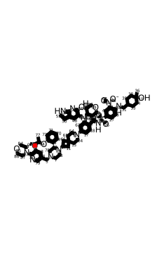 COc1cc(CN2CCN(C3CC4(CCN(c5ccc(C(=O)NS(=O)(=O)c6ccc(NCC7CCC(C)(O)CC7)c([N+](=O)[O-])c6)c(N6c7cc8cc[nH]c8nc7O[C@H]7COCC[C@@H]76)c5)CC4)C3)[C@@H](c3ccccc3OC(C)C)C2)cnc1N1CCOCC1